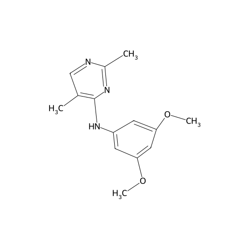 COc1cc(Nc2nc(C)ncc2C)cc(OC)c1